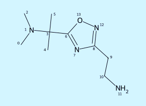 CN(C)C(C)(C)c1nc(CCN)no1